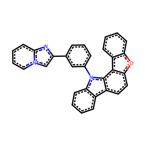 c1cc(-c2cn3ccccc3n2)cc(-n2c3ccccc3c3ccc4oc5ccccc5c4c32)c1